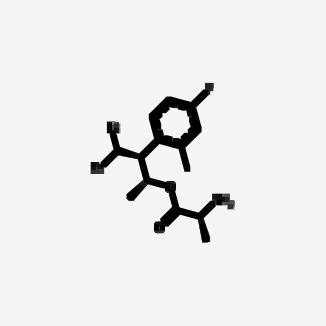 CCC(CC)[C@@H](c1ccc(F)cc1C)[C@H](C)OC(=O)[C@H](C)N